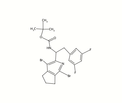 CC(C)(C)OC(=O)NC(Cc1cc(F)cc(F)c1)c1nc(Br)c2c(c1Br)CCC2